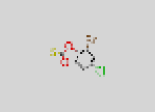 S=c1oc2cc(Cl)cc(Br)c2o1